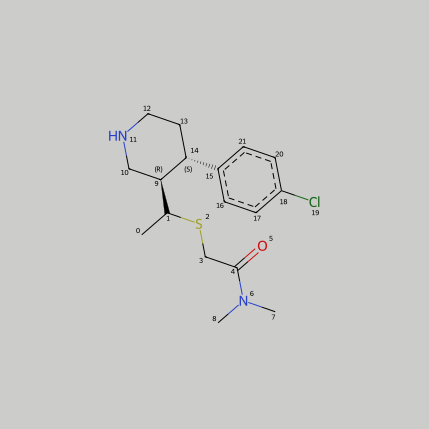 CC(SCC(=O)N(C)C)[C@H]1CNCC[C@@H]1c1ccc(Cl)cc1